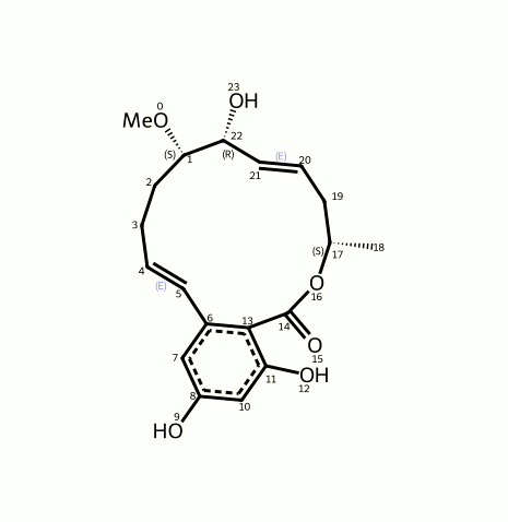 CO[C@H]1CC/C=C/c2cc(O)cc(O)c2C(=O)O[C@@H](C)C/C=C/[C@H]1O